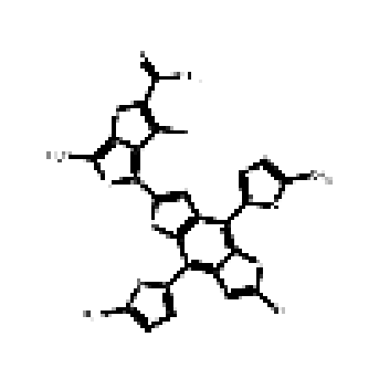 CC(=O)c1sc2c(C)sc(-c3cc4c(-c5ccc(C)s5)c5sc(C)cc5c(-c5ccc(C)s5)c4s3)c2c1F